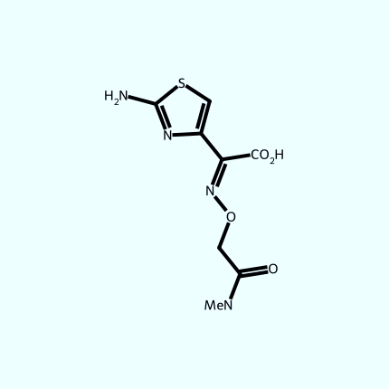 CNC(=O)CO/N=C(\C(=O)O)c1csc(N)n1